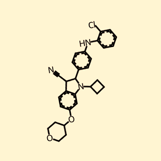 N#CC1c2ccc(OC3CCOCC3)cc2N(C2CCC2)C1c1ccc(Nc2ccccc2Cl)cc1